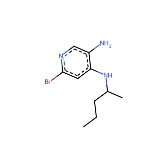 CCCC(C)Nc1cc(Br)ncc1N